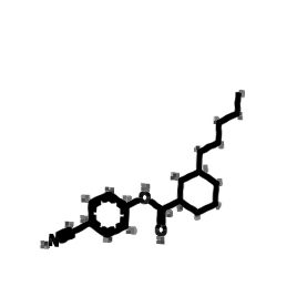 CCCCCC1CCCC(C(=O)Oc2ccc(C#N)cc2)C1